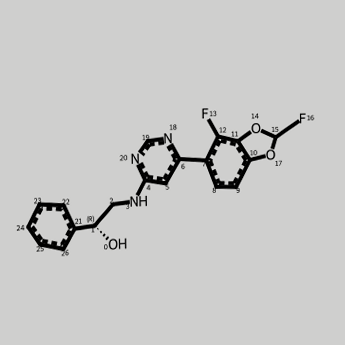 O[C@@H](CNc1cc(-c2ccc3c(c2F)OC(F)O3)ncn1)c1ccccc1